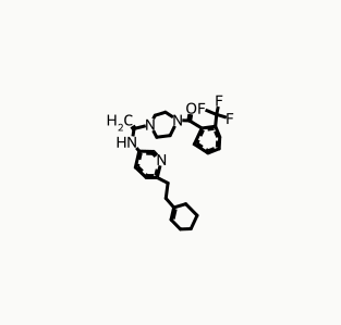 C=C(Nc1ccc(CCC2=CCCCC2)nc1)N1CCN(C(=O)c2ccccc2C(F)(F)F)CC1